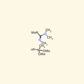 CCC[Si](C)(OC)OC.CN=C(NC)N(C)C